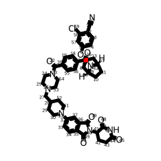 N#Cc1ccc(OC2C[C@H]3CC[C@@H](C2)N3C(=O)c2ccc(C(=O)N3CCN(CC4CCN(c5ccc6c(c5)C(=O)N(C5CCC(=O)NC5=O)C6=O)CC4)CC3)cc2)cc1Cl